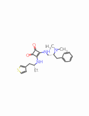 CC[C@H](Cc1ccsc1)Nc1c(NC[C@@H](Cc2ccccc2)N(C)C)c(=O)c1=O